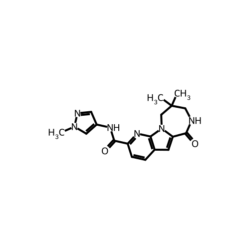 Cn1cc(NC(=O)c2ccc3cc4n(c3n2)CC(C)(C)CNC4=O)cn1